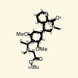 COc1cc(-c2cn(C)c(=O)c3ncccc23)cc(OC)c1C(C)N(C)CC(=O)OC(C)(C)C